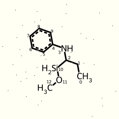 CCC(Nc1ccccc1)[SiH2]OC